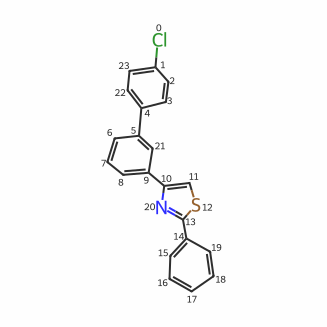 Clc1ccc(-c2cccc(-c3csc(-c4ccccc4)n3)c2)cc1